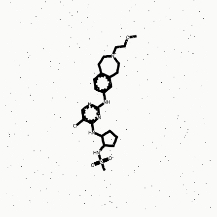 COCCN1CCc2ccc(Nc3ncc(Cl)c(NC4CCCC4NS(C)(=O)=O)n3)cc2CC1